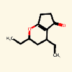 CCC1CC(CC)C2=C(CCC2=O)O1